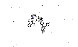 Cc1ccc(-c2cc(C(F)(F)F)nn2-c2ccc(S(=O)(=O)NC(=O)OC[C@H](C)N(C)/[N+]([O-])=N/OC(C)N3C(=O)c4ccccc4C3=O)cc2)cc1